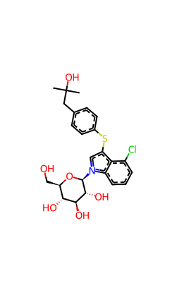 CC(C)(O)Cc1ccc(Sc2cn([C@@H]3O[C@H](CO)[C@@H](O)[C@H](O)[C@H]3O)c3cccc(Cl)c23)cc1